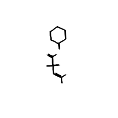 CCC(C)(C=C(C)C(=O)O)C(=O)OC1CCCCC1